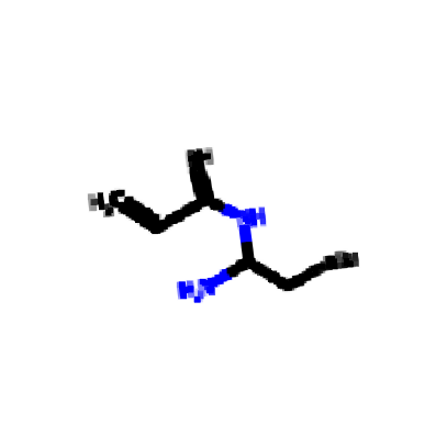 B=C(C=C)NC(N)CCCCC